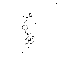 O=C(C=Cc1ccc(CNC(=O)C23CC4CC(CC(O)(C4)C2)C3)cc1)NO